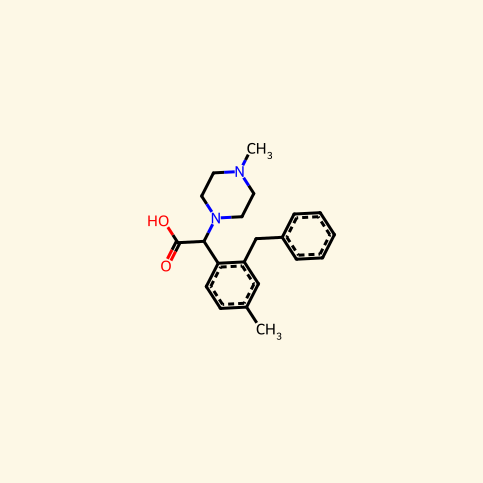 Cc1ccc(C(C(=O)O)N2CCN(C)CC2)c(Cc2ccccc2)c1